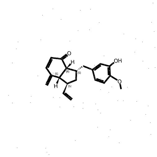 C=C[C@@H]1C[C@@H](Cc2ccc(OC)c(O)c2)[C@H]2C(=O)C=CC(=C)[C@H]21